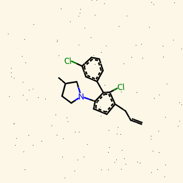 C=CCc1ccc(N2CCC(C)C2)c(-c2cccc(Cl)c2)c1Cl